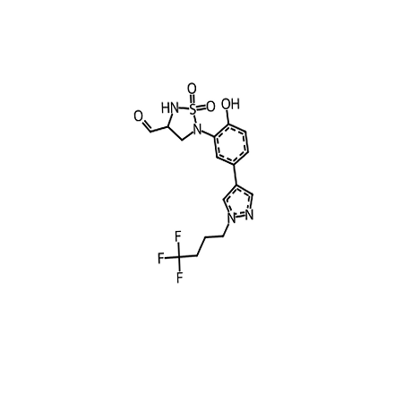 O=CC1CN(c2cc(-c3cnn(CCCC(F)(F)F)c3)ccc2O)S(=O)(=O)N1